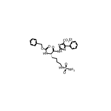 CCOC(=O)c1sc(NC(=O)[C@H](CCCCNS(N)(=O)=O)NC(=O)OCc2ccccc2)nc1-c1ccccc1